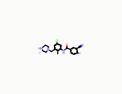 Cc1c(CN2CCN[C@@H](C)C2)cc(Cl)cc1NC(=O)c1ccc(F)c(C#N)c1